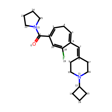 O=C(C1=CCC=C(C=C2CCN(C3CCC3)CC2)C(F)=C1)N1CCCC1